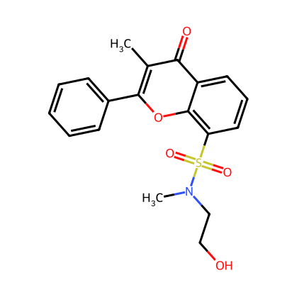 Cc1c(-c2ccccc2)oc2c(S(=O)(=O)N(C)CCO)cccc2c1=O